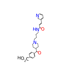 O=C(C=Cc1cccnc1)NCCCCN1CCC(C(=O)c2ccc(C(=O)O)cc2)CC1